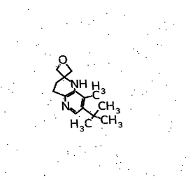 Cc1c(C(C)(C)C)cnc2c1NC1(CC2)COC1